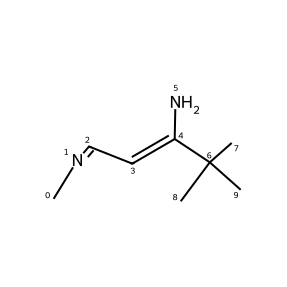 C/N=C\C=C(/N)C(C)(C)C